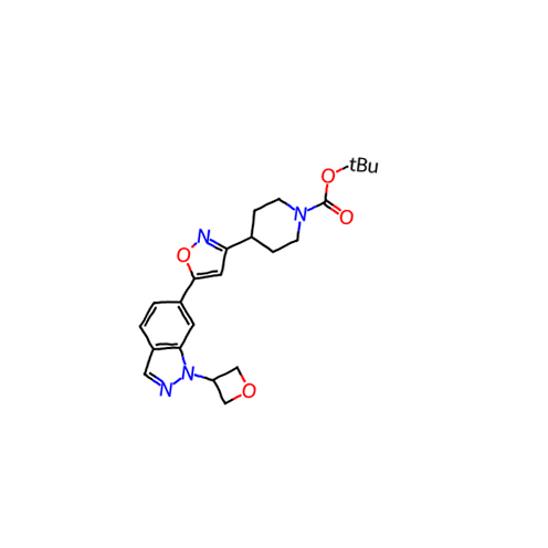 CC(C)(C)OC(=O)N1CCC(c2cc(-c3ccc4cnn(C5COC5)c4c3)on2)CC1